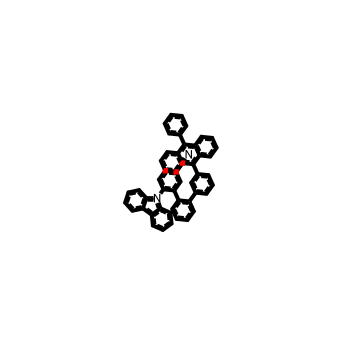 N#Cc1ccc(-n2c3ccccc3c3ccccc32)c(-c2ccccc2-c2cccc(-c3c4ccccc4c(-c4ccccc4)c4ccccc34)c2)c1